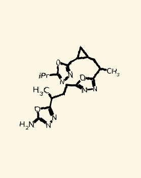 CC(C)c1nnc(C2CC2CC(C)c2nnc(CCC(C)c3nnc(N)o3)o2)o1